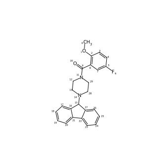 COc1ccc(F)cc1C(=O)N1CCN(C2c3ccccc3-c3ccccc32)CC1